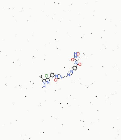 O=C1CCC(N2Cc3cc(N4CCN(CCCN5CCN(c6cccc(-c7cnc8[nH]cc(C9CC9)c8c7Cl)c6)C(=O)C5)CC4)ccc3C2=O)C(=O)N1